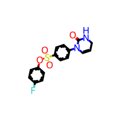 O=C1NCC=CN1c1ccc(S(=O)(=O)Oc2ccc(F)cc2)cc1